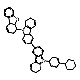 C1=CC2=C(CC1)N(C1CC=CC3c4ccccc4OC31)C1C=CC(c3ccc4c(c3)c3c(n4C4C=CC(C5CCCCC5)=CC4)CCC=C3)=CC21